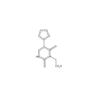 O=C(O)Cn1c(=O)[nH]cc(-c2ccco2)c1=O